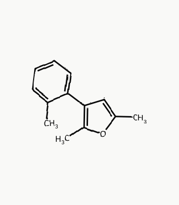 Cc1[c]c(-c2ccccc2C)c(C)o1